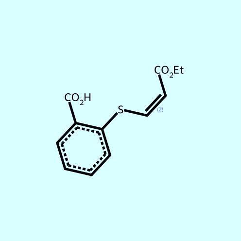 CCOC(=O)/C=C\Sc1ccccc1C(=O)O